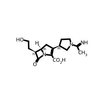 CC(=N)N1CC[C@H](C2=C(C(=O)O)N3C(=O)[C@@H](CCO)[C@H]3C2)C1